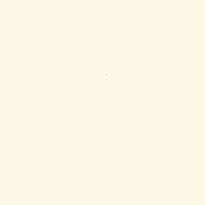 NC[C@H](CB(O)O)OC(=O)C1CCCC1